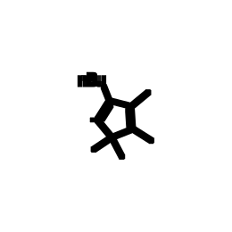 CCCCC1=[C]C(C)(C)C(C)=C1C